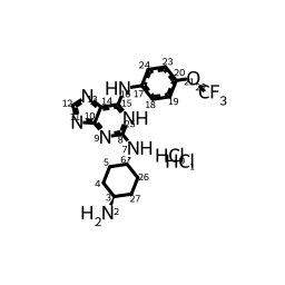 Cl.Cl.N[C@H]1CC[C@H](Nc2nc3ncnc-3c(Nc3ccc(OC(F)(F)F)cc3)[nH]2)CC1